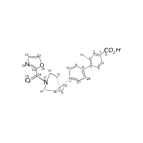 Cc1cc(C(=O)O)ccc1-c1ccc([C@@H]2CC23CCN(C(=O)c2ncco2)CC3)cc1